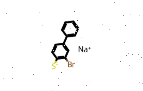 [Na+].[S-]c1ccc(-c2ccccc2)cc1Br